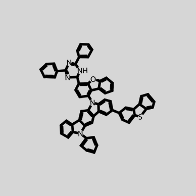 c1ccc(C2=NC(c3ccc(-n4c5ccc(-c6ccc7sc8ccccc8c7c6)cc5c5cc6c(cc54)c4ccccc4n6-c4ccccc4)c4c3oc3ccccc34)NC(c3ccccc3)=N2)cc1